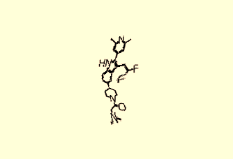 Cc1cc(-c2[nH]c3ccc(C4CCN(C(=O)CN(C)C)CC4)cc3c2CC(F)F)cc(C)n1